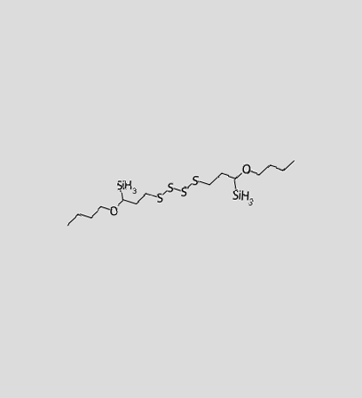 CCCCOC([SiH3])CCSSSSCCC([SiH3])OCCCC